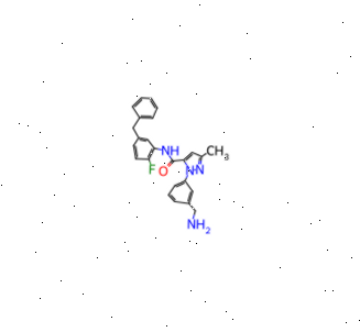 Cc1cc(C(=O)Nc2cc(Cc3ccccc3)ccc2F)n(-c2cccc(CN)c2)n1